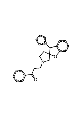 O=C(CCN1CCC2(C1)Oc1ccccc1C2n1cccc1)c1ccccc1